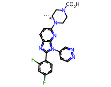 C[C@@H]1CN(C(=O)O)CCN1c1ccc2nc(-c3ccc(F)cc3F)n(-c3ccnnc3)c2n1